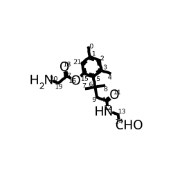 Cc1cc(C)c(C(C)(C)CC(=O)NCC=O)c(OC(=O)CN)c1